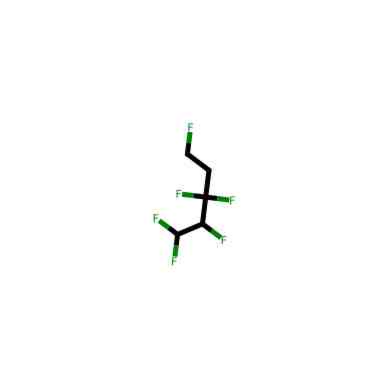 FCCC(F)(F)C(F)[C](F)F